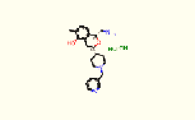 Cc1ccc2c(c1O)C[C@@H](C1CCN(Cc3cccnc3)CC1)O[C@H]2CN.Cl.Cl